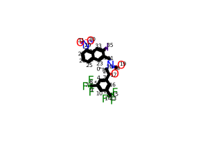 C[C@H]1C(c2cc(C(F)(F)F)cc(C(F)(F)F)c2)OC(=O)N1Cc1cc2cccc([N+](=O)[O-])c2cc1I